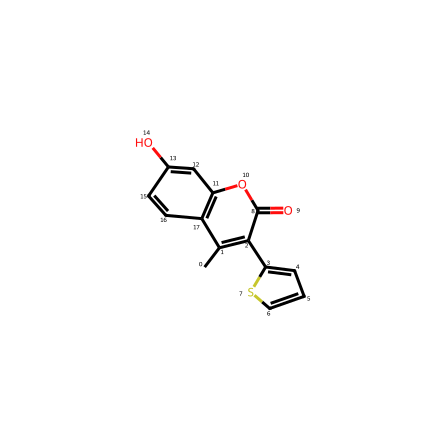 Cc1c(-c2cccs2)c(=O)oc2cc(O)ccc12